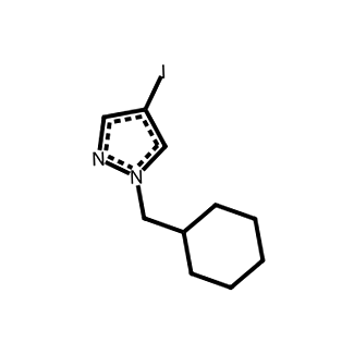 Ic1cnn(CC2CCCCC2)c1